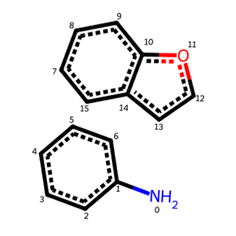 Nc1ccccc1.c1ccc2occc2c1